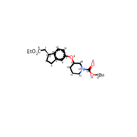 CCOC(=O)C[C@@H]1CCc2cc(OC3CCCN(C(=O)OC(C)(C)C)C3)ccc21